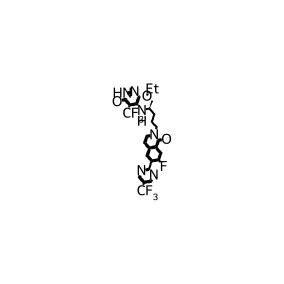 CCOC[C@@H](CCCn1ccc2cc(-c3ncc(C(F)(F)F)cn3)c(F)cc2c1=O)Nc1cn[nH]c(=O)c1C(F)(F)F